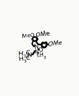 COc1ccc(C2c3cc(OC)c(OC)cc3CCN2C(=O)N(C)CCN(C)C)cc1